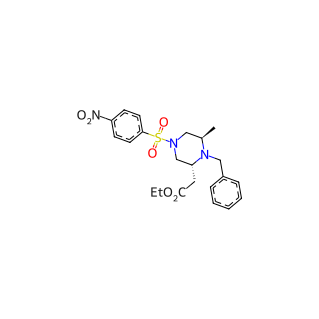 CCOC(=O)C[C@@H]1CN(S(=O)(=O)c2ccc([N+](=O)[O-])cc2)C[C@@H](C)N1Cc1ccccc1